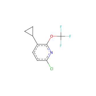 FC(F)(F)Oc1nc(Cl)ccc1C1CC1